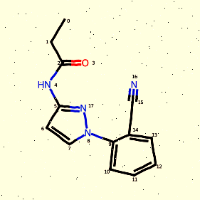 CCC(=O)Nc1ccn(-c2ccccc2C#N)n1